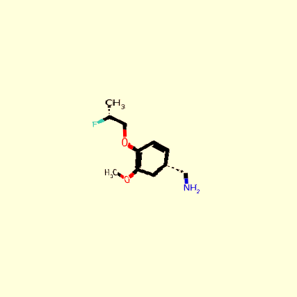 COC1=C(OC[C@@H](C)F)C=C[C@H](CN)C1